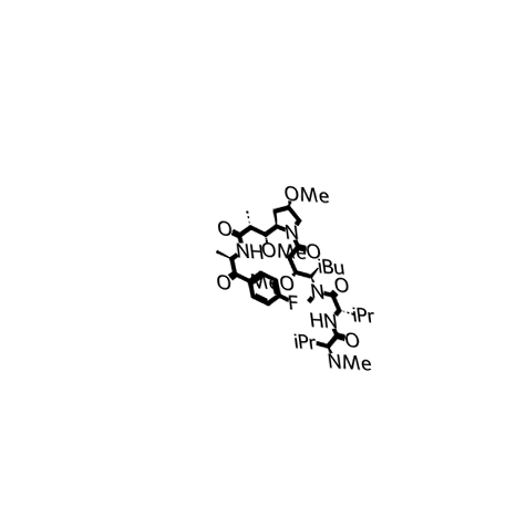 CC[C@H](C)[C@@H]([C@H](CC(=O)N1C[C@H](OC)C[C@@H]1[C@H](OC)[C@@H](C)C(=O)N[C@H](C)C(=O)c1ccc(F)cc1)OC)N(C)C(=O)[C@@H](NC(=O)[C@@H](NC)C(C)C)C(C)C